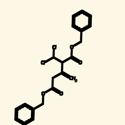 C=C(CC(=O)OCc1ccccc1)C(C(=O)OCc1ccccc1)C(Cl)Cl